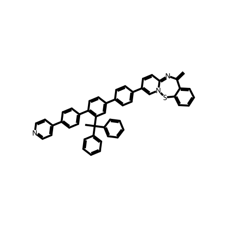 C=C1N=C2C=CC(c3ccc(-c4ccc(-c5ccc(-c6ccncc6)cc5)c(C(C)(c5ccccc5)c5ccccc5)c4)cc3)=CN2Sc2ccccc21